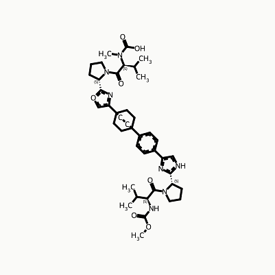 COC(=O)N[C@H](C(=O)N1CCC[C@H]1c1nc(-c2ccc(C34CCC(c5coc([C@@H]6CCCN6C(=O)[C@H](C(C)C)N(C)C(=O)O)n5)(CC3)CC4)cc2)c[nH]1)C(C)C